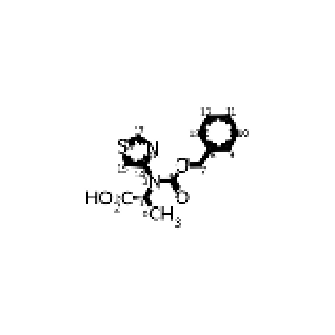 C[C@@H](C(=O)O)N(C(=O)OCc1ccccc1)c1cscn1